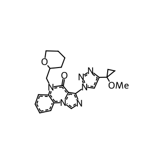 COC1(c2cn(-c3ncn4c3c(=O)n(CC3CCCCO3)c3ccccc34)nn2)CC1